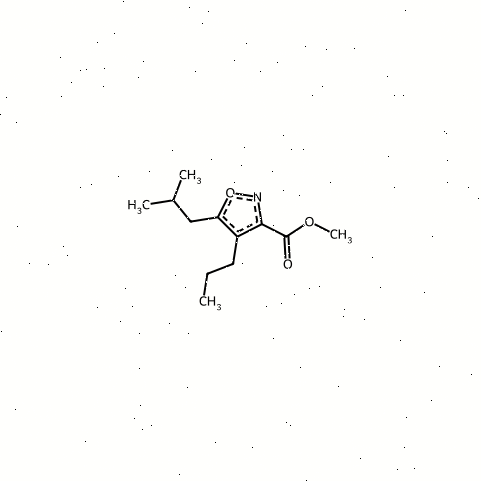 CCCc1c(C(=O)OC)noc1CC(C)C